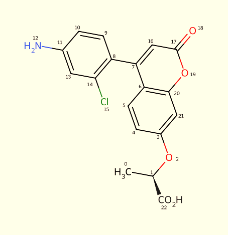 C[C@@H](Oc1ccc2c(-c3ccc(N)cc3Cl)cc(=O)oc2c1)C(=O)O